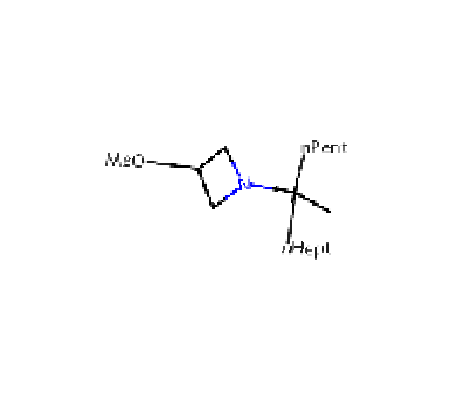 CCCCCCCC(C)(CCCCC)N1CC(OC)C1